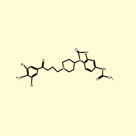 CC(=O)Nc1ccc2c(c1)[nH]c(=O)n2C1CCN(CCCC(=O)c2cc(Br)c(N)c(Br)c2)CC1